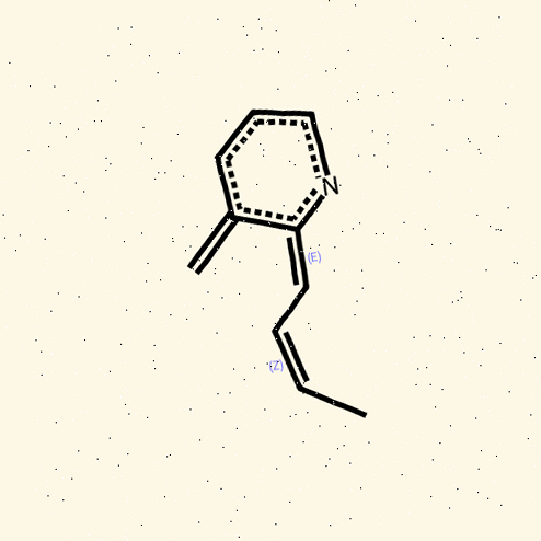 C=c1cccn/c1=C/C=C\C